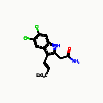 CCOC(=O)C=Cc1c(CC(N)=O)[nH]c2cc(Cl)c(Cl)cc12